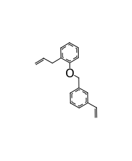 C=CCc1ccccc1OCc1cccc(C=C)c1